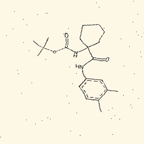 Cc1ccc(NC(=O)C2(NC(=O)OC(C)(C)C)CCCCC2)cc1C